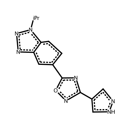 CC(C)n1nnc2cc(-c3nc(-c4cn[nH]c4)no3)ccc21